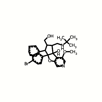 COc1cncc2c1C1(O)C(CNC(C)(C)C)C(CO)C(c3ccccc3)C1(c1ccc(Br)cc1)O2